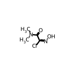 CN(C)C(=O)/C(Cl)=N\O